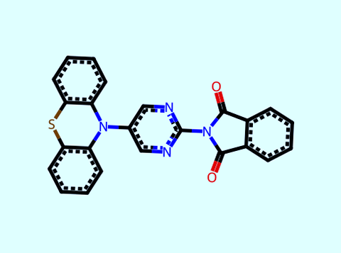 O=C1c2ccccc2C(=O)N1c1ncc(N2c3ccccc3Sc3ccccc32)cn1